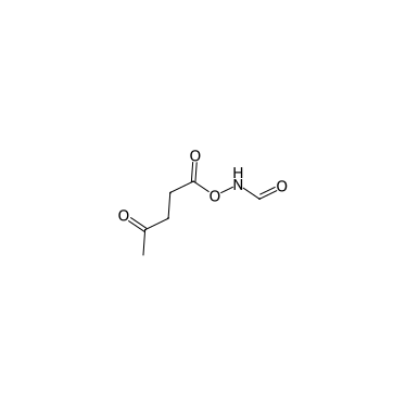 CC(=O)CCC(=O)ONC=O